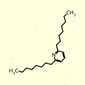 CCCCCCCCc1[c]ccc(CCCCCCCC)n1